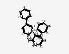 O=C1C=CC(c2ccccn2)=C[N+]1(c1ccccc1)c1cccnc1F